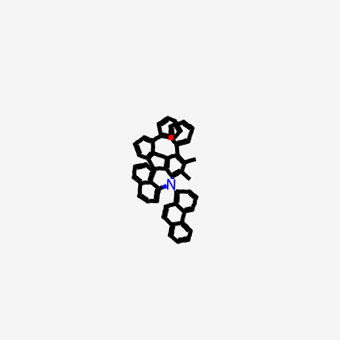 Cc1c(C)c(N(c2cccc3ccccc23)c2cccc3c2ccc2ccccc23)c2c(c1-c1ccccc1)-c1c(cccc1-c1ccccc1)C2